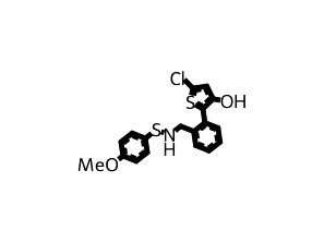 COc1ccc(SNCc2ccccc2-c2sc(Cl)cc2O)cc1